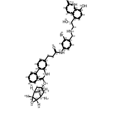 C[N+]1(C)[C@@H]2C[C@@H](OC(=O)Nc3cc(CCC(=O)Nc4ccc(CNC[C@H](O)c5ccc(O)c6[nH]c(=O)ccc56)c(Br)c4)ccc3-c3ccccc3)C[C@H]1[C@@H]1O[C@@H]12